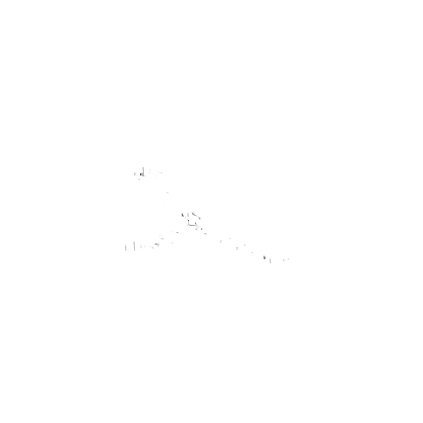 CCCCCCCCCCCCCCCCCCn1cc[n+](CCCCCCCCCCCCCCCCC)c1CCCCCCCCCCCCCC